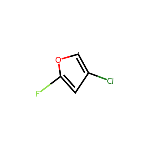 Fc1cc(Cl)[c]o1